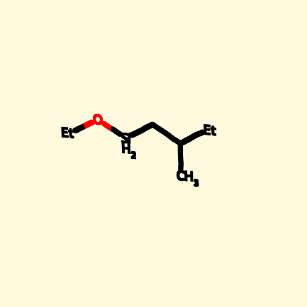 CCO[SiH2]CC(C)CC